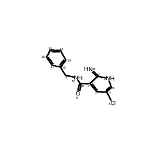 N=c1[nH]cc(Cl)cc1C(=O)NCc1ccccc1